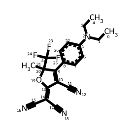 CCN(CC)c1ccc(C2=C(C#N)C(=C(C#N)C#N)OC2(C)C(F)(F)F)cc1